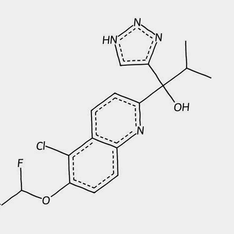 CC(C)C(O)(c1c[nH]nn1)c1ccc2c(Cl)c(OC(F)F)ccc2n1